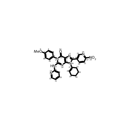 COc1ccc(-n2c(Nc3ccccn3)nc3c(nc(-c4ccc([N+](=O)[O-])nc4)n3C3=CCCCC3)c2=O)cc1